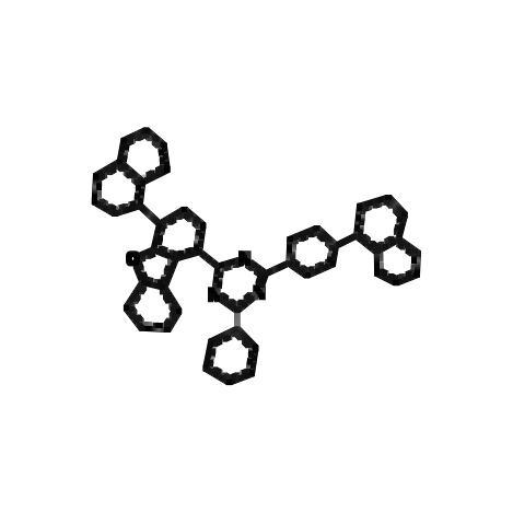 c1ccc(-c2nc(-c3ccc(-c4cccc5ccccc45)cc3)nc(-c3ccc(-c4cccc5ccccc45)c4oc5ccccc5c34)n2)cc1